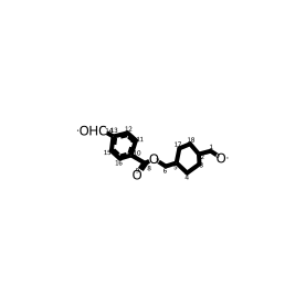 [O]CC1CCC(COC(=O)c2ccc([C]=O)cc2)CC1